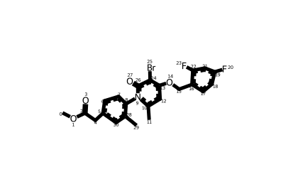 COC(=O)Cc1ccc(-n2c(C)cc(OCc3ccc(F)cc3F)c(Br)c2=O)c(C)c1